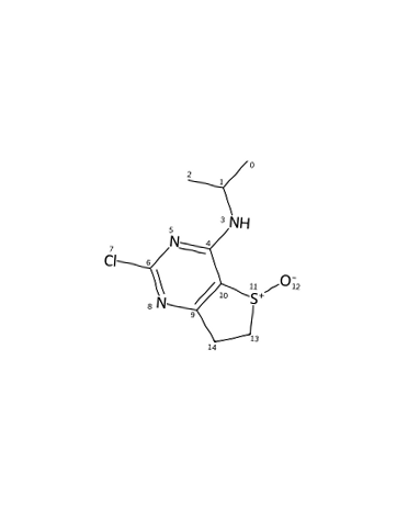 CC(C)Nc1nc(Cl)nc2c1[S+]([O-])CC2